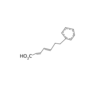 O=C(O)/C=C/C=C/CCc1ccccc1